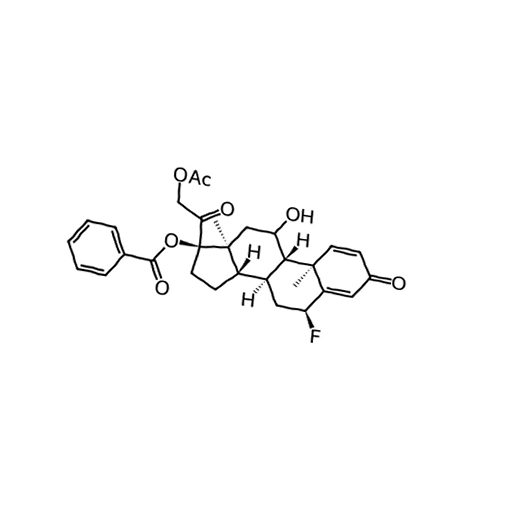 CC(=O)OCC(=O)[C@@]1(OC(=O)c2ccccc2)CC[C@H]2[C@@H]3C[C@H](F)C4=CC(=O)C=C[C@]4(C)[C@H]3C(O)C[C@@]21C